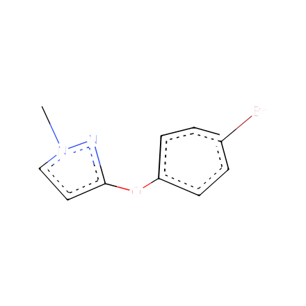 Cn1ccc(Oc2ccc(Br)cc2)n1